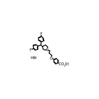 Br.CCOC(=O)c1ccc(OCCCN2CCC(C(c3ccc(F)cc3)c3ccc(F)cc3)CC2)cc1